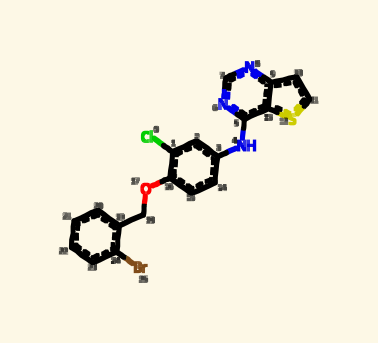 Clc1cc(Nc2ncnc3ccsc23)ccc1OCc1ccccc1Br